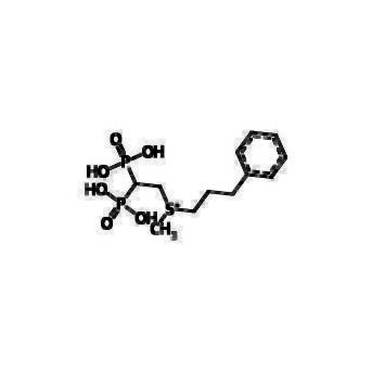 C[S+](CCCc1ccccc1)CC(P(=O)(O)O)P(=O)(O)O